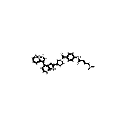 CN(C)C/C=C/C(=O)Nc1ccc(C(=O)N2CCC(c3cc4c(-c5cnn6ncccc56)ccnc4[nH]3)C2)cc1